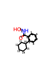 O=C(NO)c1ccccc1C1CCCCC1